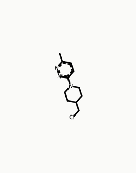 Cc1ccc(N2CCC(CCl)CC2)nn1